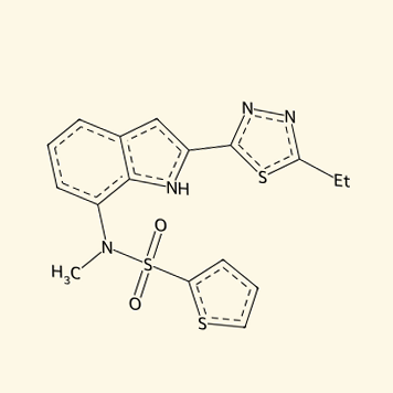 CCc1nnc(-c2cc3cccc(N(C)S(=O)(=O)c4cccs4)c3[nH]2)s1